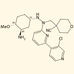 CO[C@@H]1CC[C@H](NN(CC2(C#N)CCOCC2)c2cccc(-c3ccncc3Cl)n2)C[C@H]1N